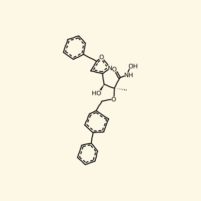 C[C@@](OCc1ccc(-c2ccccc2)cc1)(C(=O)NO)[C@@H](O)c1cc(-c2ccccc2)on1